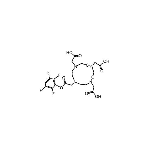 O=C(O)CN1CCN(CC(=O)O)CCN(CC(=O)Oc2c(F)c(F)cc(F)c2F)CCN(CC(=O)O)CC1